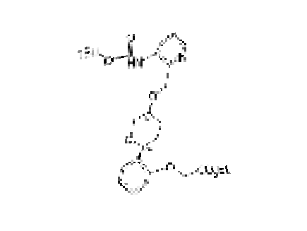 CCOC(=O)COc1ccccc1[C@@H]1CC[C@H](OCc2ncccc2NC(=O)OC(C)(C)C)CO1